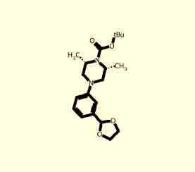 C[C@@H]1CN(c2cccc(C3OCCO3)c2)C[C@H](C)N1C(=O)OC(C)(C)C